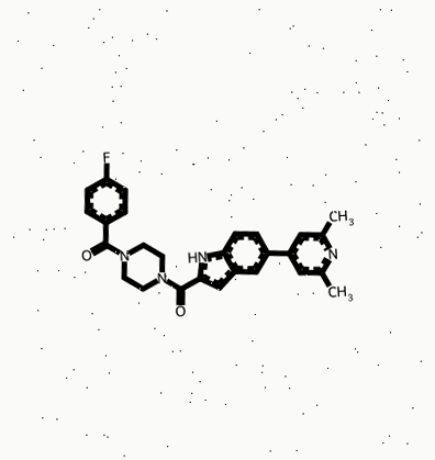 Cc1cc(-c2ccc3[nH]c(C(=O)N4CCN(C(=O)c5ccc(F)cc5)CC4)cc3c2)cc(C)n1